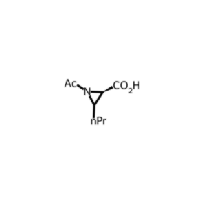 CCCC1[C@H](C(=O)O)N1C(C)=O